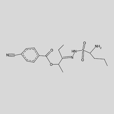 CCCC(N)S(=O)(=O)N/N=C(\CC)C(C)OC(=O)c1ccc(C#N)cc1